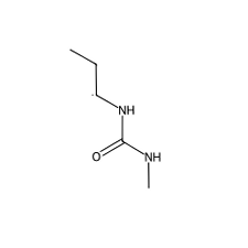 CC[CH]NC(=O)NC